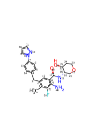 Cc1c(Cc2ccc(-n3cccn3)cc2)cc(C(=O)N[C@H]2COCC[C@@H]2O)c(N)c1F